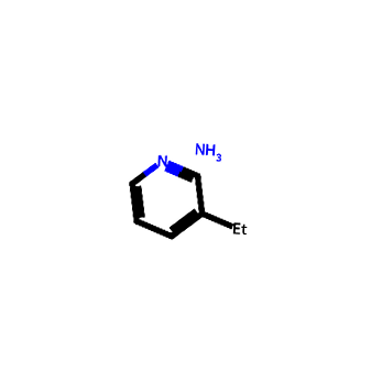 CCc1cccnc1.N